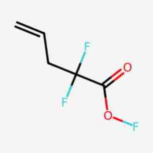 C=CCC(F)(F)C(=O)OF